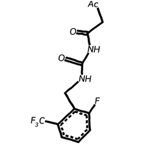 CC(=O)CC(=O)NC(=O)NCc1c(F)cccc1C(F)(F)F